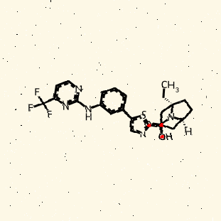 CC[C@@]12CC[C@@H](CC(O)(c3ncc(-c4cccc(Nc5nccc(C(F)(F)F)n5)c4)s3)C1)N2C(=O)O